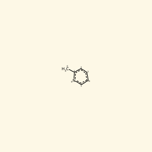 Cc1[c]c[c][c]n1